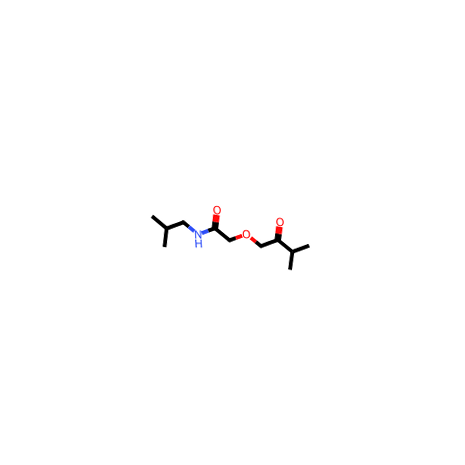 CC(C)CNC(=O)COCC(=O)C(C)C